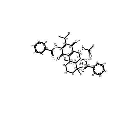 CC(=O)O[C@H]1C2=C(C(=O)C(OC(=O)c3ccccc3)=C(C(C)C)C2=O)[C@@]2(C)CCCC(C)(C)[C@@H]2[C@@H]1OC(=O)c1ccccc1